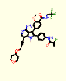 C=C(F)C(=O)Nc1ccc(-c2c(-c3ccc(C(=O)NCC(F)(F)F)c(OC)c3)c3c(N)ncc(C#CCOC4CCOCC4)c3n2C)cc1